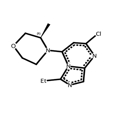 CCc1ncc2nc(Cl)cc(N3CCOC[C@H]3C)n12